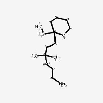 C[SiH2]C1(CCC(C)(C)NCCN)CCCCO1